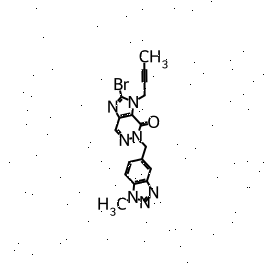 CC#CCn1c(Br)nc2cnn(Cc3ccc4c(c3)nnn4C)c(=O)c21